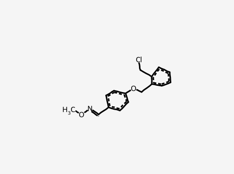 CON=[C]c1ccc(OCc2ccccc2CCl)cc1